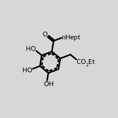 CCCCCCCC(=O)c1c(CC(=O)OCC)cc(O)c(O)c1O